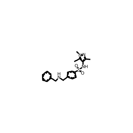 Cc1nn(C)c(C)c1NS(=O)(=O)c1ccc(CNCc2ccccc2)cc1